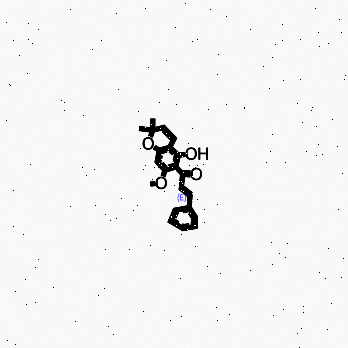 COc1cc2c(c(O)c1C(=O)/C=C/c1ccccc1)C=CC(C)(C)O2